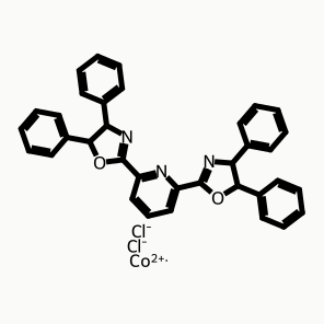 [Cl-].[Cl-].[Co+2].c1ccc(C2N=C(c3cccc(C4=NC(c5ccccc5)C(c5ccccc5)O4)n3)OC2c2ccccc2)cc1